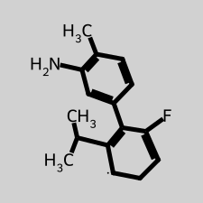 Cc1ccc(C2=C(C(C)C)[CH]CC=C2F)cc1N